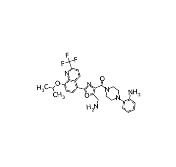 CC(C)Oc1ccc(-c2nc(C(=O)N3CCN(c4ccccc4N)CC3)c(CN)o2)c2ccc(C(F)(F)F)nc12